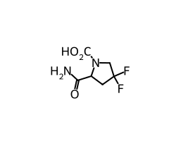 NC(=O)C1CC(F)(F)CN1C(=O)O